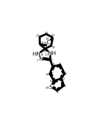 c1cc2ccc(C3=NNC4(CC5CCC4CC5)N3)cc2s1